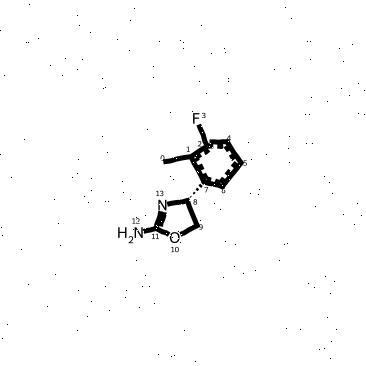 Cc1c(F)cccc1[C@@H]1COC(N)=N1